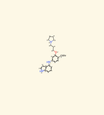 COc1ccc(Nc2cccc3[nH]ccc23)cc1OCCCN1CCCC1